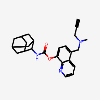 C#CCN(C)Cc1ccc(OC(=O)NC2C3CC4CC(C3)CC2C4)c2ncccc12